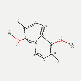 CCOc1c(C)ccc2c(OCC)c(C)ccc12